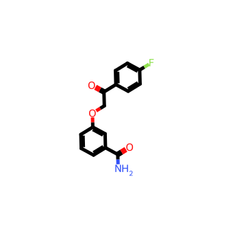 NC(=O)c1cccc(OCC(=O)c2ccc(F)cc2)c1